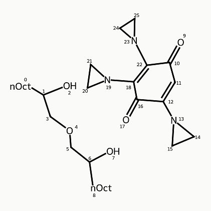 CCCCCCCCC(O)COCC(O)CCCCCCCC.O=C1C=C(N2CC2)C(=O)C(N2CC2)=C1N1CC1